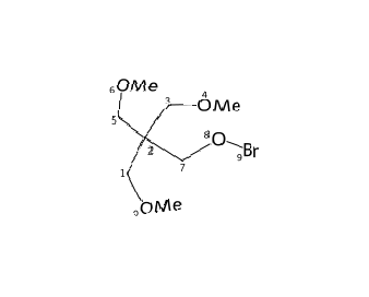 COCC(COC)(COC)COBr